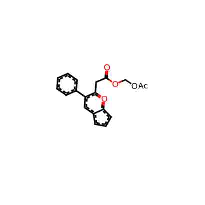 CC(=O)OCOC(=O)Cc1oc2cccc-2cc1-c1ccccc1